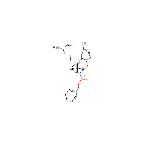 COC(CCC[C@]12CCN(C(=O)OCc3ccccc3)[C@H](Cc3ccc(C)cc31)[C@@H]2C)OC